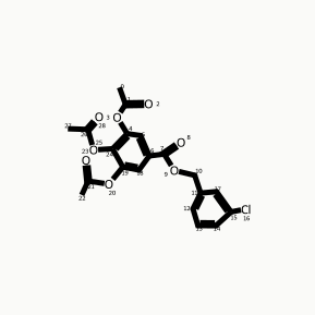 CC(=O)Oc1cc(C(=O)OCc2cccc(Cl)c2)cc(OC(C)=O)c1OC(C)=O